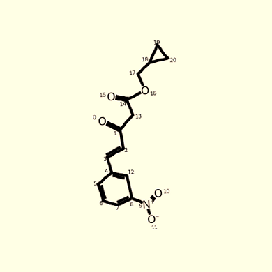 O=C(C=Cc1cccc([N+](=O)[O-])c1)CC(=O)OCC1CC1